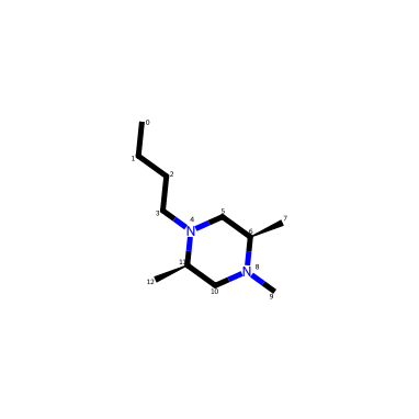 CCCCN1C[C@@H](C)N(C)C[C@H]1C